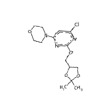 CC1(C)OCC(COc2nc(Cl)cc(N3CCOCC3)n2)O1